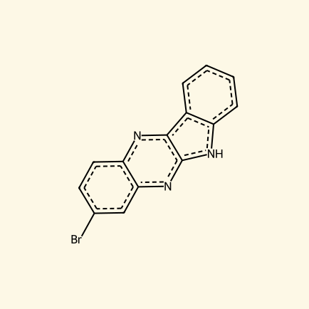 Brc1ccc2nc3c(nc2c1)[nH]c1ccccc13